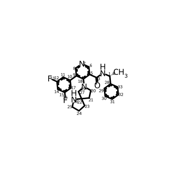 C[C@@H](NC(=O)c1cncc(-c2cc(F)cc(F)c2)c1N1CCC2(CCCN2)C1)c1ccccc1